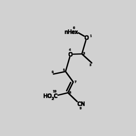 CCCCCCOC(C)OC(C)C=C(C#N)C(=O)O